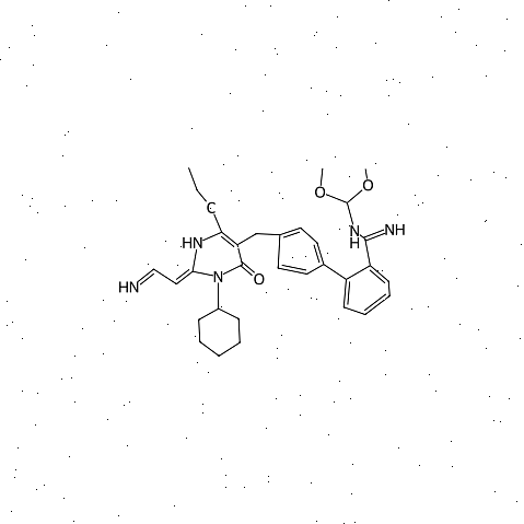 CCCC1=C(Cc2ccc(-c3ccccc3C(=N)NC(OC)OC)cc2)C(=O)N(C2CCCCC2)/C(=C/C=N)N1